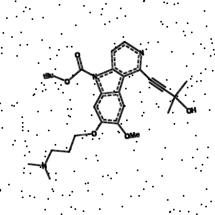 COc1cc2c3c(C#CC(C)(C)O)nccc3n(C(=O)OC(C)(C)C)c2cc1OCCCN(C)C